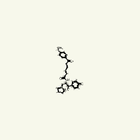 COc1ccc(C(=O)CCCCC(=O)N[C@H](CN2CCCC2)[C@H](C)c2ccc(Cl)cc2)cc1